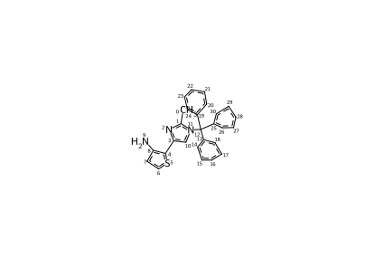 Cc1nc(-c2sccc2N)cn1C(c1ccccc1)(c1ccccc1)c1ccccc1